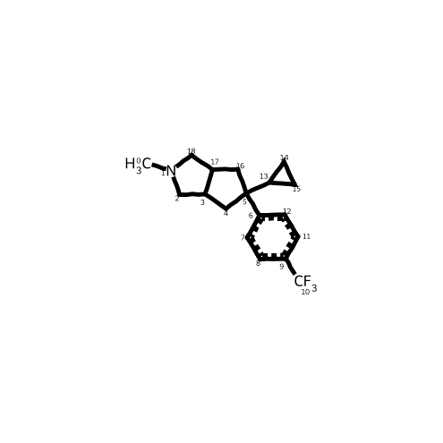 CN1CC2CC(c3ccc(C(F)(F)F)cc3)(C3CC3)CC2C1